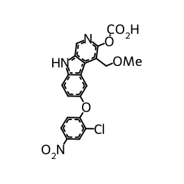 COCc1c(OC(=O)O)ncc2[nH]c3ccc(Oc4ccc([N+](=O)[O-])cc4Cl)cc3c12